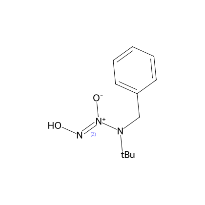 CC(C)(C)N(Cc1ccccc1)/[N+]([O-])=N/O